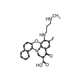 CNCCCNc1c(F)cc2c(=O)c(C(=O)O)cn3c2c1Oc1ccc2ccccc2c1-3